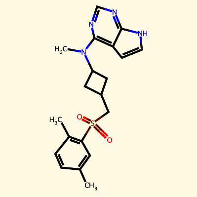 Cc1ccc(C)c(S(=O)(=O)CC2CC(N(C)c3ncnc4[nH]ccc34)C2)c1